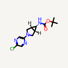 CC(C)(C)OC(=O)N[C@@H]1[C@@H]2CN(c3cnc(Cl)cn3)C[C@@H]21